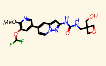 COc1ncc(-c2ccn3nc(NC(=O)NCC4(CO)COC4)cc3c2)cc1OC(F)F